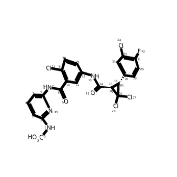 O=C(O)Nc1cccc(NC(=O)c2cc(NC(=O)[C@H]3[C@H](c4ccc(F)c(Cl)c4)C3(Cl)Cl)ccc2Cl)n1